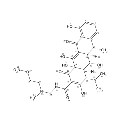 C[C@H]1c2cccc(O)c2C(=O)C2=C(O)[C@]3(O)C(=O)C(C(=O)NCN(C)CCO[N+](=O)[O-])=C(O)[C@@H](N(C)C)[C@@H]3[C@@H](O)[C@@H]21